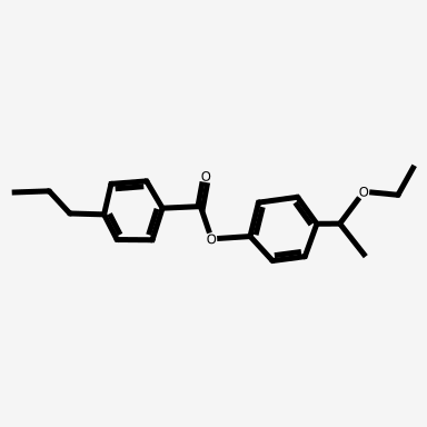 CCCc1ccc(C(=O)Oc2ccc(C(C)OCC)cc2)cc1